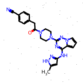 Cc1cc(Nc2nc(N3CCN(C(=O)Cc4ccc(C#N)cc4)CC3)nn3cccc23)n[nH]1